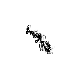 Cc1ncsc1-c1ccc([C@H](C)NC(=O)[C@@H]2C[C@@H](O)CN2C(=O)[C@@H](NC(=O)CCNCCC(=O)N2CCN(CC[C@H](CSc3ccccc3)Nc3ccc(S(=O)(=O)NC(=O)c4ccc5c(c4)CCC4CN(CC6=C(c7ccc(Cl)cc7)CCC(C)(C)C6)CCN54)cc3S(=O)(=O)C(F)(F)F)CC2)C(C)(C)C)cc1